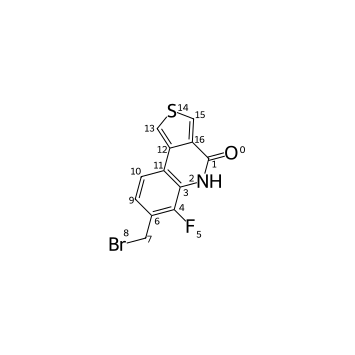 O=c1[nH]c2c(F)c(CBr)ccc2c2cscc12